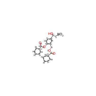 O=C(OCc1cc(C(O)C[N+](=O)[O-])ccc1OC(=O)c1ccccc1)c1ccccc1